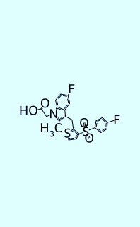 Cc1c(Cc2sccc2S(=O)(=O)c2ccc(F)cc2)c2cc(F)ccc2n1CC(=O)O